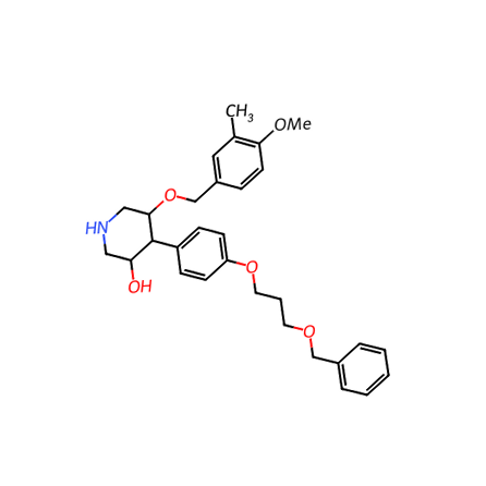 COc1ccc(COC2CNCC(O)C2c2ccc(OCCCOCc3ccccc3)cc2)cc1C